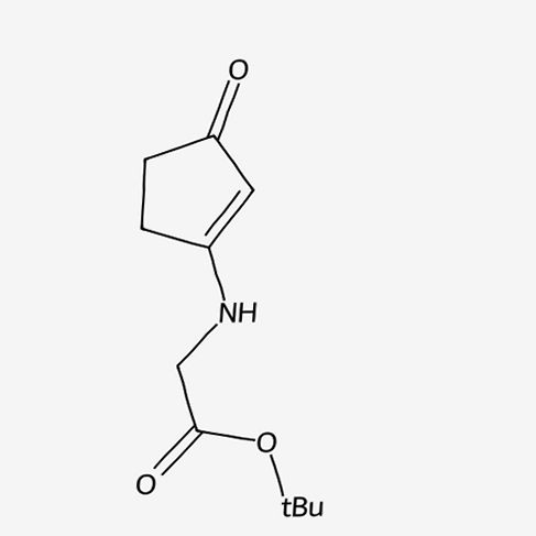 CC(C)(C)OC(=O)CNC1=CC(=O)CC1